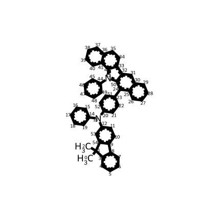 CC1(C)c2ccccc2-c2ccc(N(c3ccccc3)c3ccc(-c4c5ccccc5cc5c6ccc7ccccc7c6n(-c6ccccc6)c45)cc3)cc21